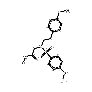 COc1ccc(CCN(CC(=O)NO)S(=O)(=O)c2ccc(OC)cc2)cc1